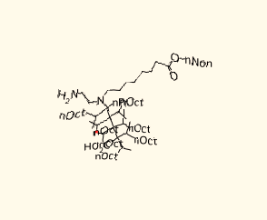 CCCCCCCCCOC(=O)CCCCCCCN(CCN)C(CCC)(C(C)CCCCCCCC)C(C(C)CCCCCCCC)(C(C)CCCCCCCC)C(C(C)CCCCCCCC)(C(C)CCCCCCCC)C(C(=O)O)(C(C)CCCCCCCC)C(C)CCCCCCCC